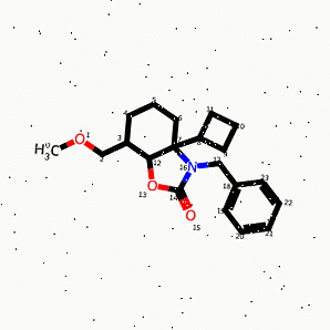 COCC1CCCC2(C3CCC3)C1OC(=O)N2Cc1ccccc1